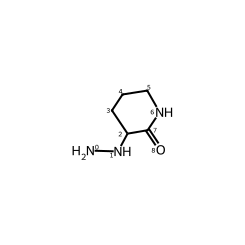 NNC1CCCNC1=O